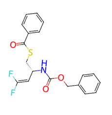 O=C(N[C@H](C=C(F)F)CSC(=O)c1ccccc1)OCc1ccccc1